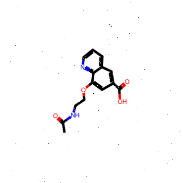 CC(=O)NCCOc1cc(C(=O)O)cc2cccnc12